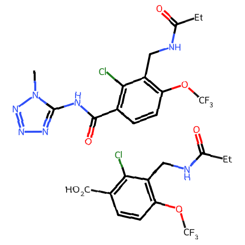 CCC(=O)NCc1c(OC(F)(F)F)ccc(C(=O)Nc2nnnn2C)c1Cl.CCC(=O)NCc1c(OC(F)(F)F)ccc(C(=O)O)c1Cl